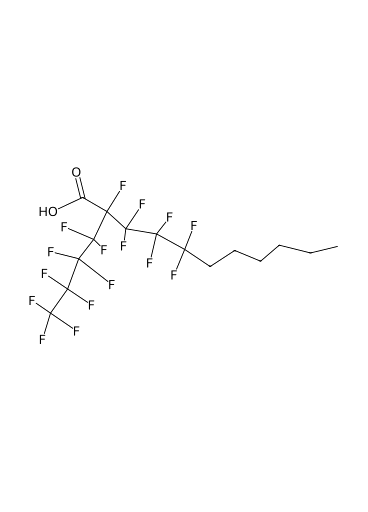 CCCCCCC(F)(F)C(F)(F)C(F)(F)C(F)(C(=O)O)C(F)(F)C(F)(F)C(F)(F)C(F)(F)F